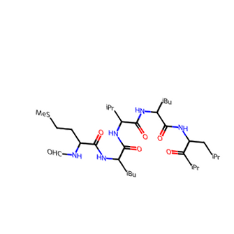 CCC(C)C(NC(=O)C(CCSC)NC=O)C(=O)NC(C(=O)NC(C(=O)NC(CC(C)C)C(=O)C(C)C)C(C)CC)C(C)C